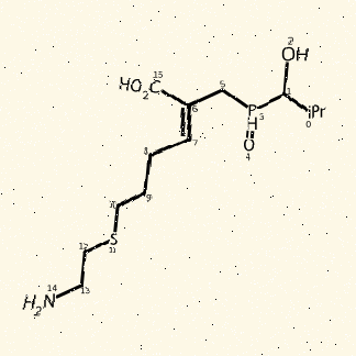 CC(C)C(O)[PH](=O)CC(=CCCCSCCN)C(=O)O